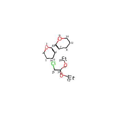 C1CCOCC1.C1CCOCC1.CCOC(CCl)OCC